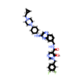 O=C(NCc1ccc2ncc(N[C@H]3CC[C@H](N4CCN(CC5CC5)CC4)CC3)nc2c1)c1cncn(Cc2ccc(F)c(F)c2)c1=O